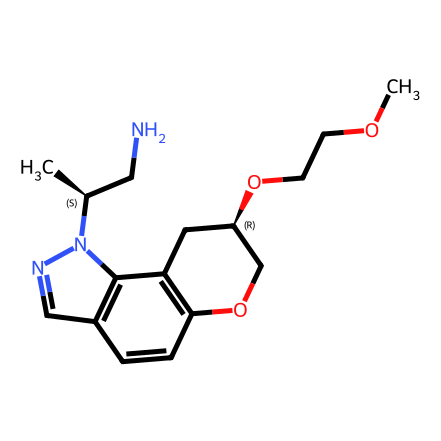 COCCO[C@H]1COc2ccc3cnn([C@@H](C)CN)c3c2C1